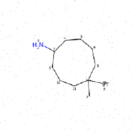 CC(C)C1(C)CCCCC(N)CCC1